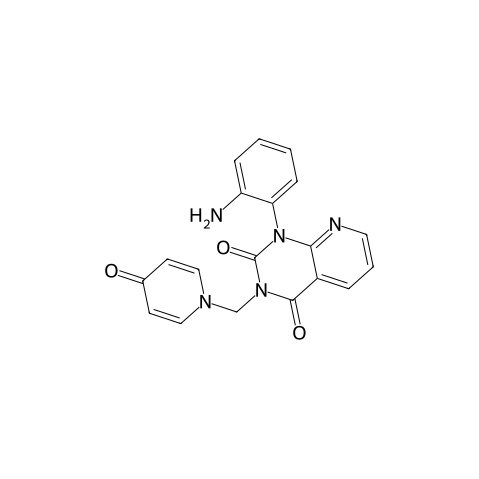 Nc1ccccc1-n1c(=O)n(Cn2ccc(=O)cc2)c(=O)c2cccnc21